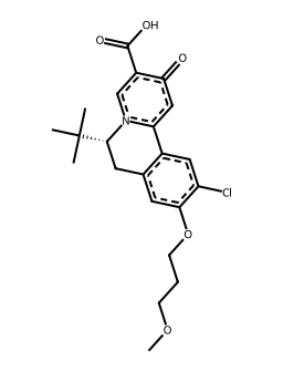 COCCCOc1cc2c(cc1Cl)-c1cc(=O)c(C(=O)O)cn1[C@@H](C(C)(C)C)C2